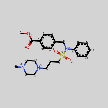 COC(=O)c1ccc(CN(c2ccccc2)S(=O)(=O)CCCN2CCN(C)CC2)cc1